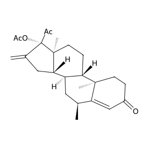 C=C1C[C@H]2[C@@H]3C[C@H](C)C4=CC(=O)CC[C@]4(C)[C@H]3CC[C@]2(C)[C@]1(OC(C)=O)C(C)=O